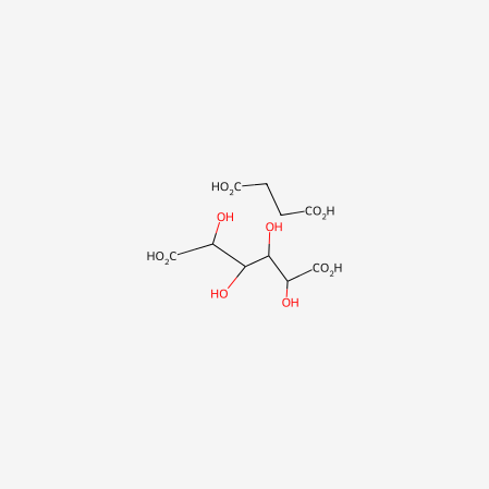 O=C(O)C(O)C(O)C(O)C(O)C(=O)O.O=C(O)CCC(=O)O